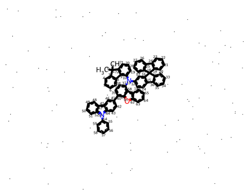 CC1(C)c2ccccc2-c2c(N(c3ccc4c(c3)C3(c5ccccc5-c5ccccc53)c3ccccc3-4)c3ccc(-c4ccc5c(c4)c4ccccc4n5-c4ccccc4)c4oc5ccccc5c34)cccc21